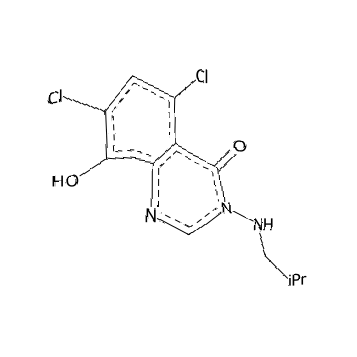 CC(C)CNn1cnc2c(O)c(Cl)cc(Cl)c2c1=O